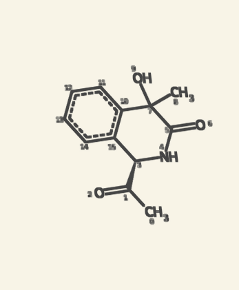 CC(=O)[C@@H]1NC(=O)C(C)(O)c2ccccc21